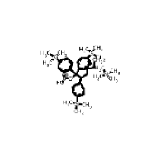 CCCCC(c1ccc([Si](C)(C)C)cc1)C(OB(O)O)(c1ccc([Si](C)(C)C)cc1)c1ccc([Si](C)(C)C)cc1.C[N+](C)(C)C